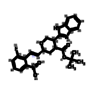 CC(C)(C)OC(=O)N1C[C@@H](/C=C/c2c(F)cccc2[N+](=O)[O-])OC[C@H]1c1nc2ccccc2[nH]1